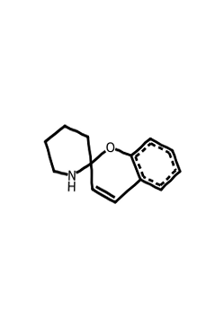 C1=CC2(CCCCN2)Oc2ccccc21